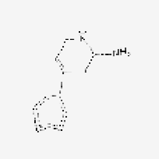 NC1CC(c2ccccc2)=CCN1